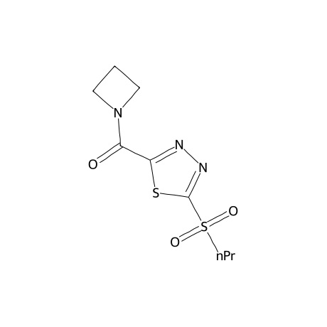 CCCS(=O)(=O)c1nnc(C(=O)N2CCC2)s1